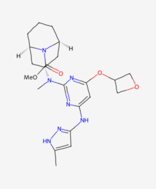 COC(=O)N1[C@@H]2CCC[C@H]1C[C@H](N(C)c1nc(Nc3cc(C)[nH]n3)cc(OC3COC3)n1)C2